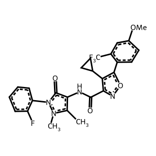 COc1ccc(-c2onc(C(=O)Nc3c(C)n(C)n(-c4ccccc4F)c3=O)c2C2CC2)c(C(F)(F)F)c1